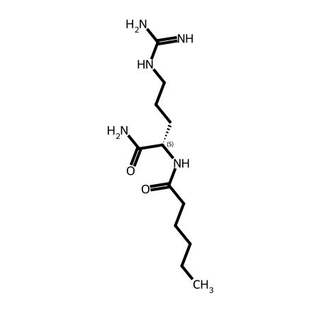 CCCCCC(=O)N[C@@H](CCCNC(=N)N)C(N)=O